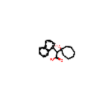 O=C(O)C(c1cccc2ccccc12)C1(O)CCCCCC1